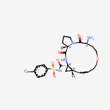 N[C@H]1CCOCC/C=C\[C@@H]2C[C@@]2(C(=O)NS(=O)(=O)c2ccc(Cl)cc2)NC(=O)[C@@H]2C[C]CN2C1=O